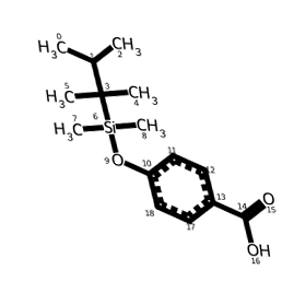 CC(C)C(C)(C)[Si](C)(C)Oc1ccc(C(=O)O)cc1